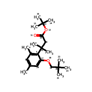 Cc1cc(C)c(C(C)(C)CC(=O)OC(C)(C)C)c(OCC(C)(C)C)c1